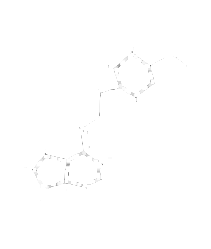 COc1ccc(CCNc2ncnc3occc23)cc1